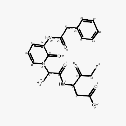 CC(C(=O)NC(CC(=O)O)C(=O)CF)n1cccc(NC(=O)Cc2ccccc2)c1=O